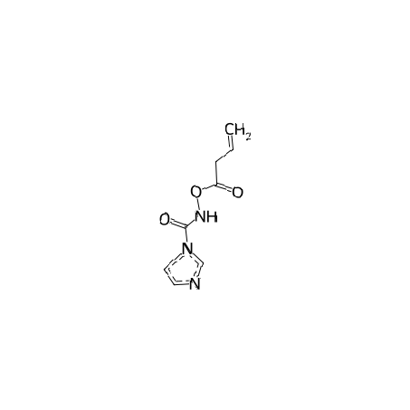 C=CCC(=O)ONC(=O)n1ccnc1